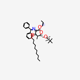 C/C=C\O[C@H]1O[C@H](CO[Si](C)(C)C(C)(C)C)C(C)[C@H](OCCCCCCCCCC)[C@H]1N=C(c1ccccc1)c1ccccc1